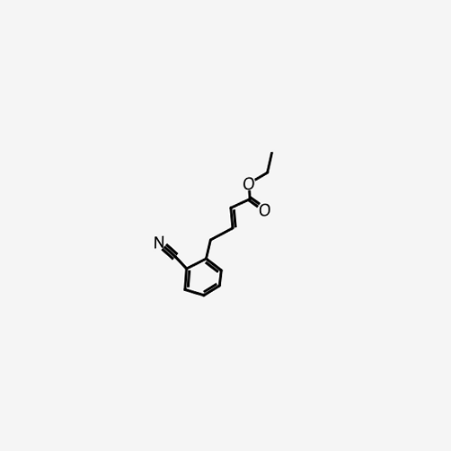 CCOC(=O)/C=C/Cc1ccccc1C#N